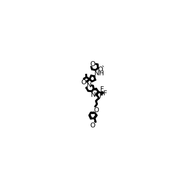 COC1COCCC1NC1CCC(C(=O)N2CCc3nc(CCCCOc4cccc(C=O)c4)c(C(F)(F)F)cc3C2)(C(C)C)C1